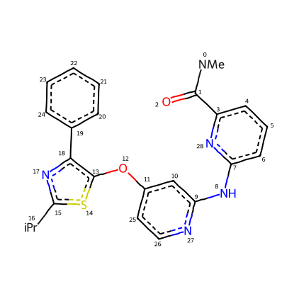 CNC(=O)c1cccc(Nc2cc(Oc3sc(C(C)C)nc3-c3ccccc3)ccn2)n1